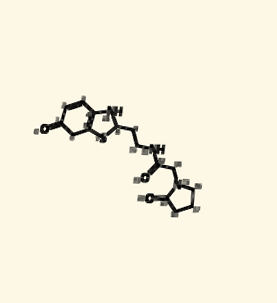 O=C1C=CC2=C(C1)SC(CCNC(=O)CN1CCCC1=O)N2